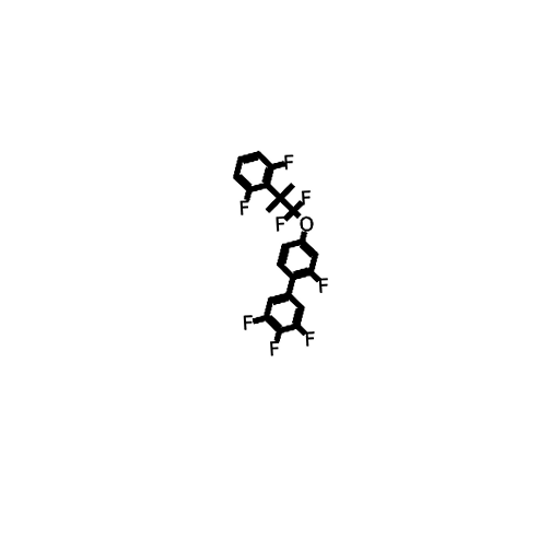 CC(C)(c1c(F)cccc1F)C(F)(F)Oc1ccc(-c2cc(F)c(F)c(F)c2)c(F)c1